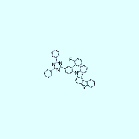 Fc1ccccc1-c1cc(-c2nc(-c3ccccc3)nc(-c3ccccc3)n2)ccc1-n1c2ccccc2c2c3c(ccc21)sc1ccccc13